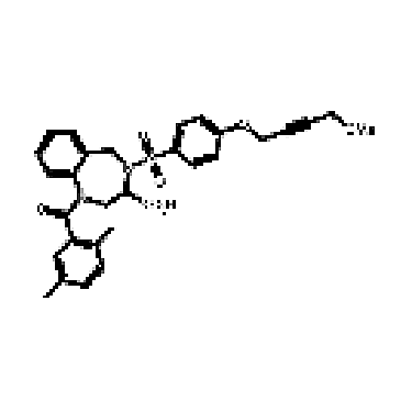 COCC#CCOc1ccc(S(=O)(=O)N2Cc3ccccc3N(C(=O)c3cc(C)ccc3C)CC2C(=O)O)cc1